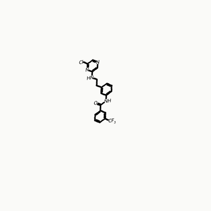 O=C(Nc1cccc(CCNc2cncc(Cl)n2)c1)c1cccc(C(F)(F)F)c1